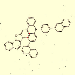 c1ccc(N(c2ccc(-c3ccc4ccccc4c3)cc2)c2ccc(-c3cccc4ccccc34)cc2)c(-c2ccc3c(c2)oc2c4ccccc4ccc32)c1